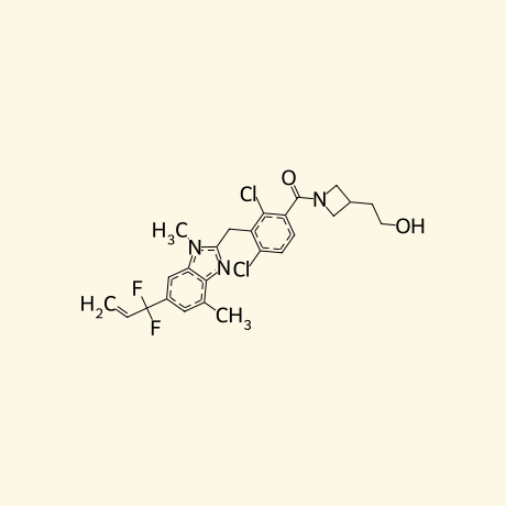 C=CC(F)(F)c1cc(C)c2nc(Cc3c(Cl)ccc(C(=O)N4CC(CCO)C4)c3Cl)n(C)c2c1